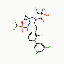 CC(O)(CF)C(=O)N1CC2(CC2)[C@H](NS(=O)(=O)C(F)F)[C@@H]1Cc1cccc(-c2cc(F)cc(F)c2)c1F